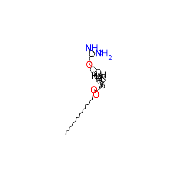 CCCCCCCCCCCCCCCCCCOC(=O)CC[C@@H](C)[C@H]1CC[C@H]2[C@@H]3CCC4CC(OCCc5cc(N)cc(N)c5)CC[C@]4(C)[C@H]3CC[C@]12C